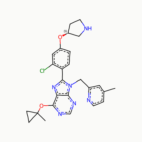 Cc1ccnc(Cn2c(-c3ccc(O[C@H]4CCNC4)cc3Cl)nc3c(OC4(C)CC4)ncnc32)c1